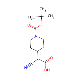 CC(C)(C)OC(=O)N1CCC(C(C#N)C(=O)O)CC1